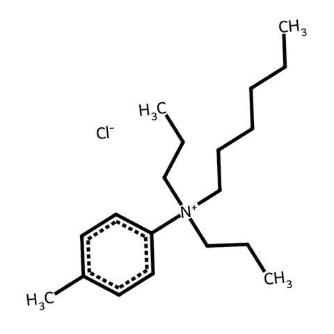 CCCCCC[N+](CCC)(CCC)c1ccc(C)cc1.[Cl-]